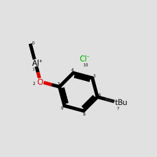 [CH3][Al+][O]c1ccc(C(C)(C)C)cc1.[Cl-]